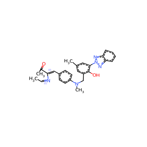 C/C=N\C(=C/c1ccc(N(C)Cc2cc(C)cc(-n3nc4ccccc4n3)c2O)cc1)C(C)=O